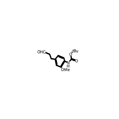 COc1cc(CCC=O)ccc1NC(=O)OC(C)(C)C